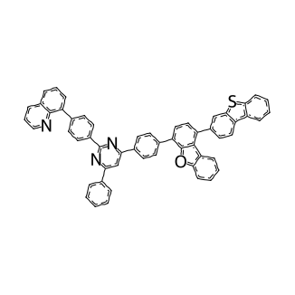 c1ccc(-c2cc(-c3ccc(-c4ccc(-c5ccc6c(c5)sc5ccccc56)c5c4oc4ccccc45)cc3)nc(-c3ccc(-c4cccc5cccnc45)cc3)n2)cc1